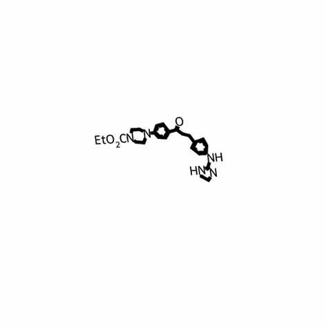 CCOC(=O)N1CCN(c2ccc(C(=O)CCc3ccc(NC4=NCCN4)cc3)cc2)CC1